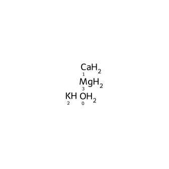 O.[CaH2].[KH].[MgH2]